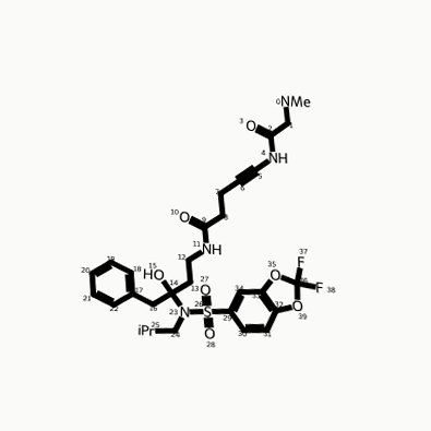 CNCC(=O)NC#CCCC(=O)NCCC(O)(Cc1ccccc1)N(CC(C)C)S(=O)(=O)c1ccc2c(c1)OC(F)(F)O2